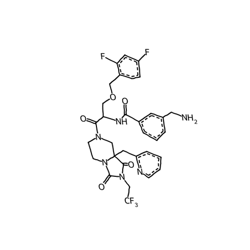 NCc1cccc(C(=O)NC(COCc2ccc(F)cc2F)C(=O)N2CCN3C(=O)N(CC(F)(F)F)C(=O)C3(Cc3ccccn3)C2)c1